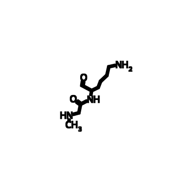 CNCC(=O)NC(C=O)CCCCN